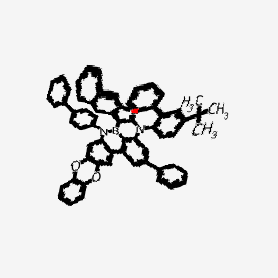 CC(C)(C)c1ccc(N2c3cc(-c4ccccc4)cc4c3B(c3c2sc2cc5ccccc5cc32)N(c2ccc(-c3ccccc3)cc2)c2cc3c(cc2-4)Oc2ccccc2O3)c(-c2ccccc2)c1